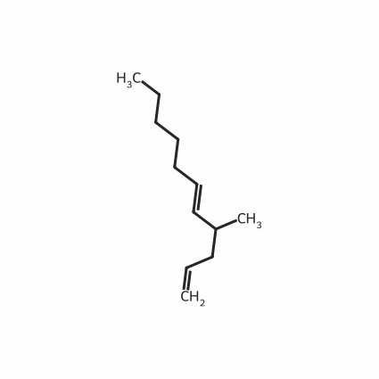 C=CCC(C)C=CCCCCC